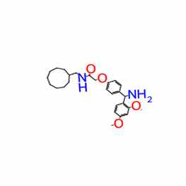 COc1ccc(C(N)c2ccc(OCC(=O)NCC3CCCCCCCC3)cc2)c(OC)c1